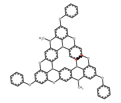 CN1c2cc3c(cc2B2c4ccccc4Oc4cc(Oc5ccccc5)cc1c42)B1c2cc4c(cc2Oc2cc(Oc5ccccc5)cc(c21)O3)N(C)c1cc(Oc2ccccc2)cc2c1B4c1ccccc1O2